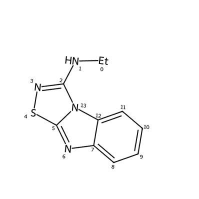 CCNc1nsc2nc3ccccc3n12